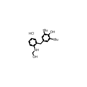 CC(C)(C)c1cc(Cc2ccccc2NCO)cc(C(C)(C)C)c1O.Cl